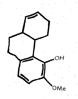 COc1ccc2c(c1O)C1CCC=CC1CC2